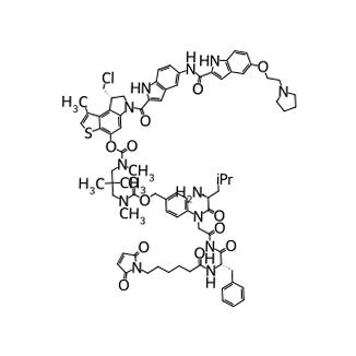 Cc1csc2c(OC(=O)N(C)CC(C)(C)CN(C)C(=O)OCc3ccc(N(CC(=O)NC(=O)[C@H](Cc4ccccc4)NC(=O)CCCCCN4C(=O)C=CC4=O)C(=O)[C@@H](N)CC(C)C)cc3)cc3c(c12)[C@H](CCl)CN3C(=O)c1cc2cc(NC(=O)c3cc4cc(OCCN5CCCC5)ccc4[nH]3)ccc2[nH]1